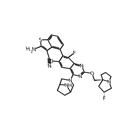 N#Cc1c(N)sc2cccc(-c3c(Cl)cc4c(N5CC6CCC(C5)N6)nc(OC[C@@]56CCCN5C[C@H](F)C6)nc4c3F)c12